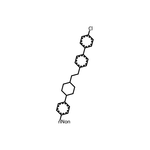 CCCCCCCCCc1ccc(C2CCC(CCc3ccc(-c4ccc(Cl)cc4)cc3)CC2)cc1